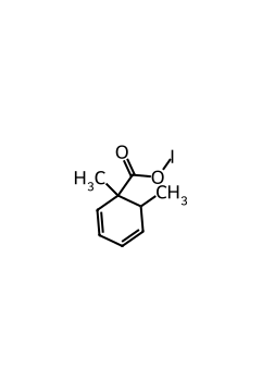 CC1C=CC=CC1(C)C(=O)OI